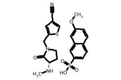 CN[C@H]1CCN(Cc2cc(C#N)cs2)C1=O.COc1ccc2ccc(S(=O)(=O)O)cc2c1